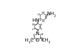 CC1CN(c2ccc(NC3CCC(N)CC3)cc2)CC(C)O1